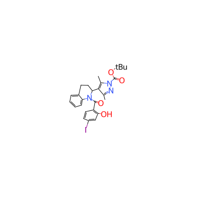 Cc1nn(C(=O)OC(C)(C)C)c(C)c1C1CCc2ccccc2N1C(=O)c1ccc(I)cc1O